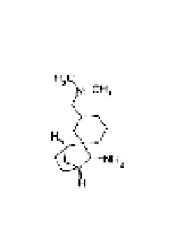 CN(C)CC1CCC[C@@]2(C1)[C@H]1CC[C@H](C1)[C@H]2N